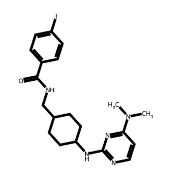 CN(C)c1ccnc(NC2CCC(CNC(=O)c3ccc(I)cc3)CC2)n1